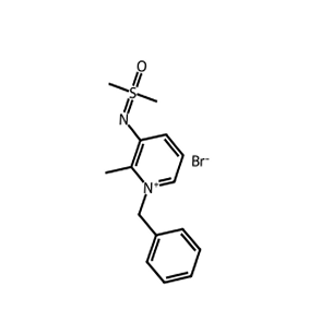 Cc1c(N=S(C)(C)=O)ccc[n+]1Cc1ccccc1.[Br-]